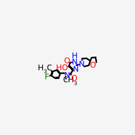 Cc1cc(CN(C)C(=O)c2nc(N3CCC4(CCCO4)CC3)[nH]c(=O)c2O)ccc1F